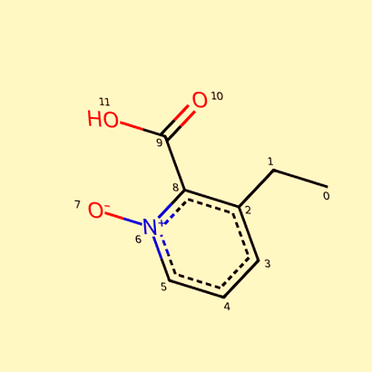 CCc1ccc[n+]([O-])c1C(=O)O